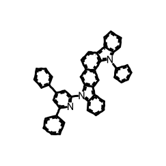 c1ccc(-c2cc(-c3ccccc3)nc(-n3c4ccccc4c4cc5c(ccc6c7ccccc7n(-c7ccccc7)c56)cc43)c2)cc1